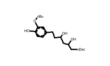 CCCCCCCCCCCC(O)CC(O)CCc1ccc(O)c(OCCCC)c1